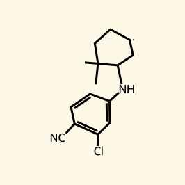 CC1(C)CC[CH]CC1Nc1ccc(C#N)c(Cl)c1